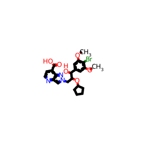 COc1cc(C(O)C(Cn2cc3nccc(C(=O)O)c3n2)OC2CCCC2)cc(OC)c1Br